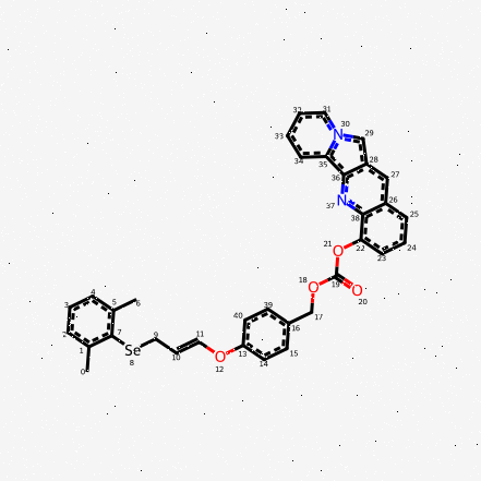 Cc1cccc(C)c1[Se]CC=COc1ccc(COC(=O)Oc2cccc3cc4cn5ccccc5c4nc23)cc1